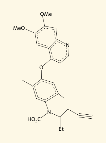 C#CCC(CC)N(C(=O)O)c1cc(C)c(Oc2ccnc3cc(OC)c(OC)cc23)cc1C